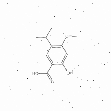 COc1cc(O)c(C(=O)O)cc1C(C)C